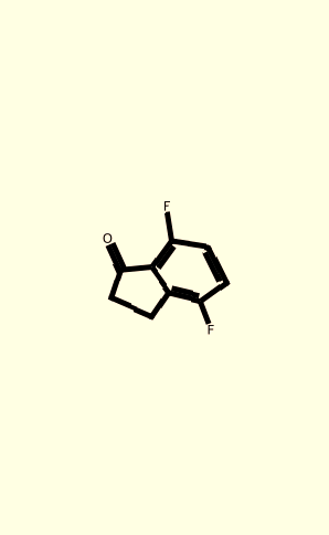 O=C1CCc2c(F)ccc(F)c21